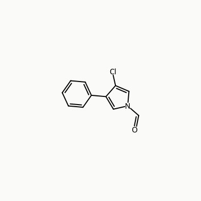 O=Cn1cc(Cl)c(-c2ccccc2)c1